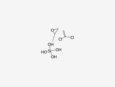 C=C(Cl)Cl.CC1CO1.O[Si](O)(O)O